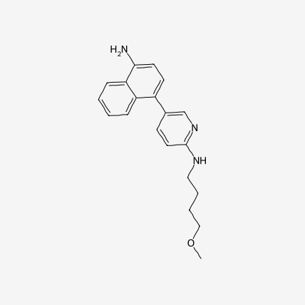 COCCCCNc1ccc(-c2ccc(N)c3ccccc23)cn1